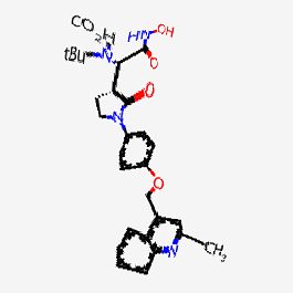 Cc1cc(COc2ccc(N3CC[C@H]([C@@H](C(=O)NO)N(C(=O)O)C(C)(C)C)C3=O)cc2)c2ccccc2n1